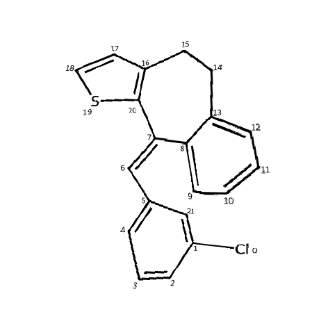 Clc1cccc(/C=C2\c3ccccc3CCc3ccsc32)c1